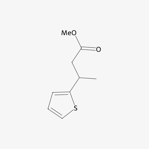 COC(=O)CC(C)c1cccs1